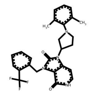 Cc1cccc(C)c1N1CCC(n2c(=O)n(Cc3ccccc3C(F)(F)F)c3c(=O)[nH]ccc32)C1